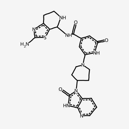 Nc1nc2c(s1)C(NC(=O)c1cc(N3CCC(n4c(=O)[nH]c5ncccc54)CC3)[nH]c(=O)c1)NCC2